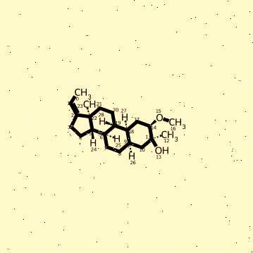 C/C=C1/CC[C@H]2[C@@H]3CC[C@@H]4C[C@](C)(O)[C@H](OC)C[C@@H]4[C@H]3CC[C@]12C